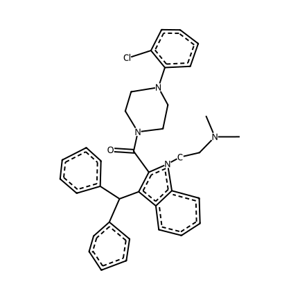 CN(C)CCn1c(C(=O)N2CCN(c3ccccc3Cl)CC2)c(C(c2ccccc2)c2ccccc2)c2ccccc21